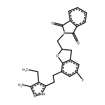 CCc1c(N)n[nH]c1CCc1cc(F)cc2c1OC(CN1C(=O)c3ccccc3C1=O)C2